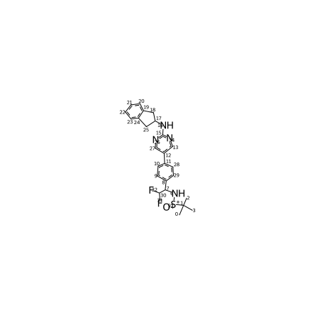 CC(C)(C)[S+]([O-])NC(c1ccc(-c2cnc(NC3Cc4ccccc4C3)nc2)cc1)C(F)F